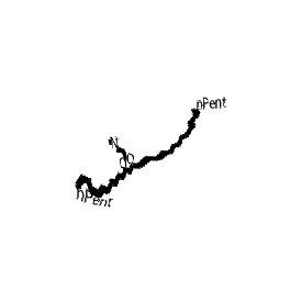 CCCCCC=CC/C=C\CCCCCCCCC(CCCCCCCC/C=C\C/C=C\CCCCC)OC(=O)CCN(C)C